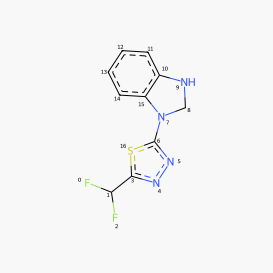 FC(F)c1nnc(N2CNc3ccccc32)s1